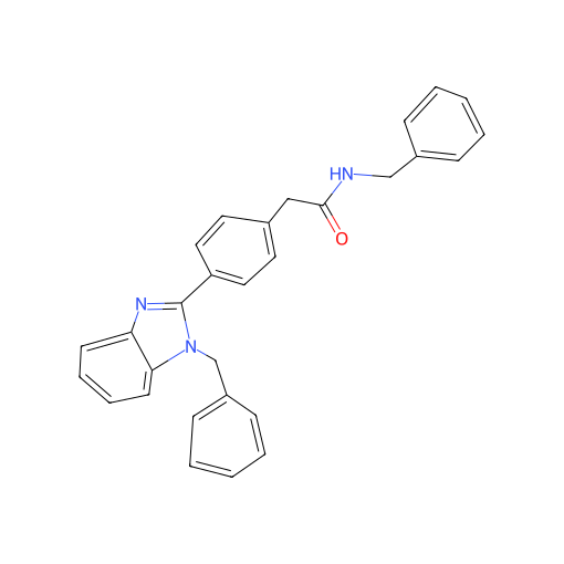 O=C(Cc1ccc(-c2nc3ccccc3n2Cc2ccccc2)cc1)NCc1ccccc1